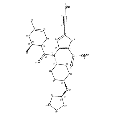 COC(=O)c1sc(C#CC(C)(C)C)cc1N(C(=O)C1CC=C(C)C[C@@H]1C)[C@H]1CC[C@H](O[C@H]2CCOC2)CC1